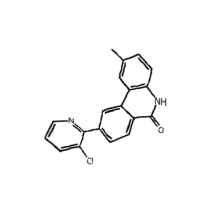 Cc1ccc2[nH]c(=O)c3ccc(-c4ncccc4Cl)cc3c2c1